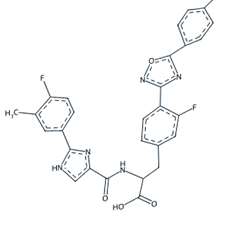 Cc1ccc(-c2nc(-c3ccc(CC(NC(=O)c4c[nH]c(-c5ccc(F)c(C)c5)n4)C(=O)O)cc3F)no2)cc1